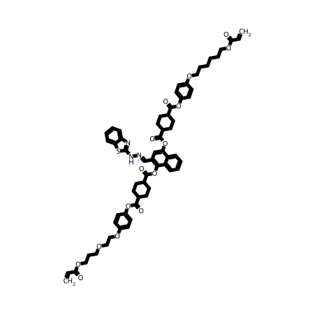 C=CC(=O)OCCCCCCOc1ccc(OC(=O)C2CCC(C(=O)Oc3cc(/C=N/Nc4nc5ccccc5s4)c(OC(=O)C4CCC(C(=O)Oc5ccc(OCCOCCCOC(=O)C=C)cc5)CC4)c4ccccc34)CC2)cc1